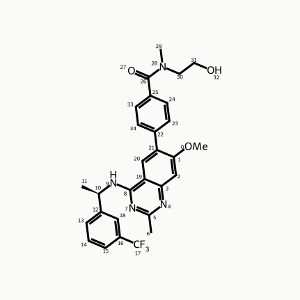 COc1cc2nc(C)nc(N[C@H](C)c3cccc(C(F)(F)F)c3)c2cc1-c1ccc(C(=O)N(C)CCO)cc1